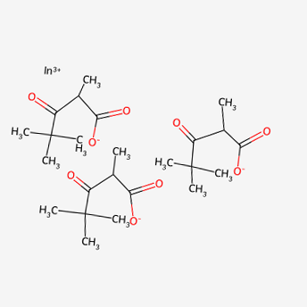 CC(C(=O)[O-])C(=O)C(C)(C)C.CC(C(=O)[O-])C(=O)C(C)(C)C.CC(C(=O)[O-])C(=O)C(C)(C)C.[In+3]